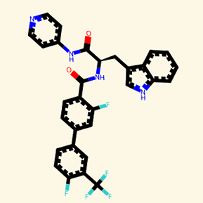 O=C(N[C@H](Cc1c[nH]c2ccccc12)C(=O)Nc1ccncc1)c1ccc(-c2ccc(F)c(C(F)(F)F)c2)cc1F